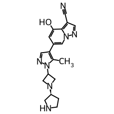 Cc1c(-c2cc(O)c3c(C#N)cnn3c2)cnn1C1CN([C@H]2CCNC2)C1